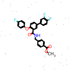 COC(=O)c1ccc(CNC(=O)c2cc(-c3ccc(F)c(F)c3)ccc2Oc2ccc(F)cc2)cc1